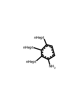 CCCCCCCc1ccc(N)c(CCCCCCC)c1CCCCCCC